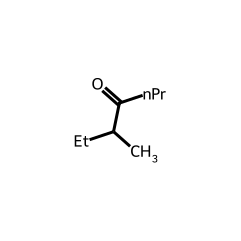 [CH2]CC(C)C(=O)CCC